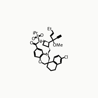 C#C[C@](/C=C/CC)(OC)[C@@H]1CC[C@H]1CN1C[C@@]2(CCCc3cc(Cl)ccc32)COc2ccc(C(=O)NS(=O)(=O)C(C)C)cc21